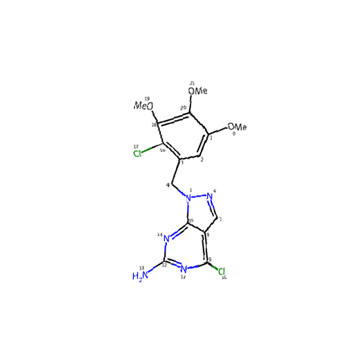 COc1cc(Cn2ncc3c(Cl)nc(N)nc32)c(Cl)c(OC)c1OC